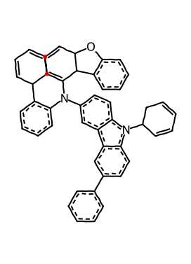 C1=CCC(c2ccccc2N(C2=CC=CC3Oc4ccccc4C23)c2ccc3c(c2)c2cc(-c4ccccc4)ccc2n3C2C=CC=CC2)C=C1